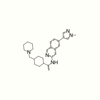 C=C(Nc1cc2cc(-c3cnn(C)c3)ccc2cn1)C1CCC(CN2CCCCC2)CC1